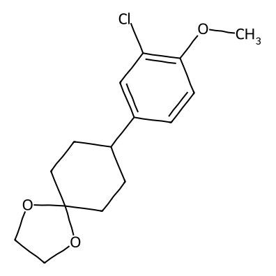 COc1ccc(C2CCC3(CC2)OCCO3)cc1Cl